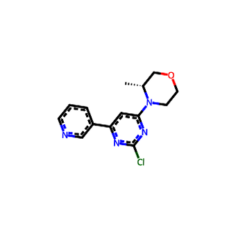 C[C@@H]1COCCN1c1cc(-c2cccnc2)nc(Cl)n1